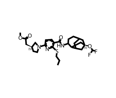 CCCSc1nc(N2CC[C@@H](CC(=O)OC)C2)ccc1C(=O)NC1CCC2CC3C[C@@](OC(F)F)(C2)CC31